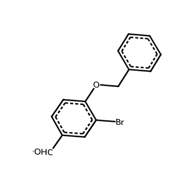 O=[C]c1ccc(OCc2ccccc2)c(Br)c1